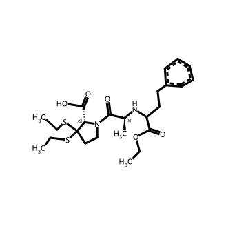 CCOC(=O)C(CCc1ccccc1)N[C@@H](C)C(=O)N1CCC(SCC)(SCC)[C@@H]1C(=O)O